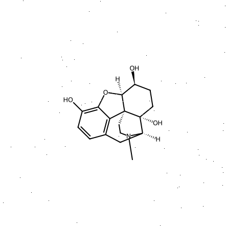 CN1CC[C@]23c4c5ccc(O)c4O[C@H]2[C@@H](O)CC[C@@]3(O)[C@H]1C5